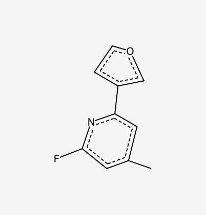 Cc1cc(F)nc(-c2ccoc2)c1